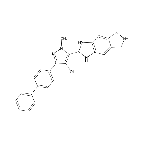 Cn1nc(-c2ccc(-c3ccccc3)cc2)c(O)c1C1Nc2cc3c(cc2N1)CNC3